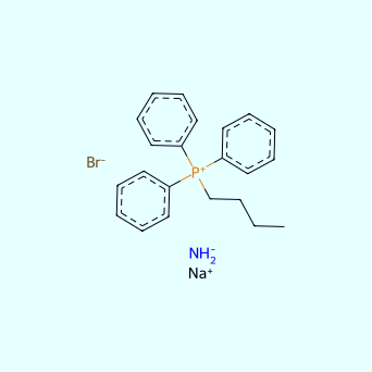 CCCC[P+](c1ccccc1)(c1ccccc1)c1ccccc1.[Br-].[NH2-].[Na+]